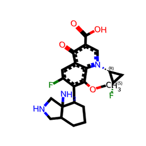 COc1c(C2CCCC3CNCC32N)c(F)cc2c(=O)c(C(=O)O)cn([C@@H]3C[C@@H]3F)c12